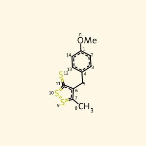 COc1ccc(Cc2c(C)ssc2=S)cc1